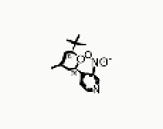 CC1=C[C@@H](C(C)(C)C)O[C@@H](c2ccncc2[N+](=O)[O-])C1